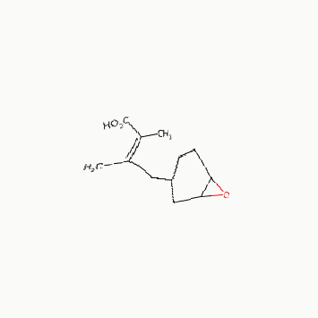 CC(CC1CCC2OC2C1)=C(C)C(=O)O